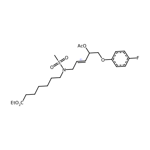 CCOC(=O)CCCCCCN(C/C=C/C(COc1ccc(F)cc1)OC(C)=O)S(C)(=O)=O